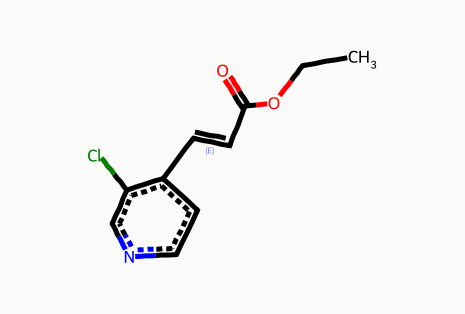 CCOC(=O)/C=C/c1ccncc1Cl